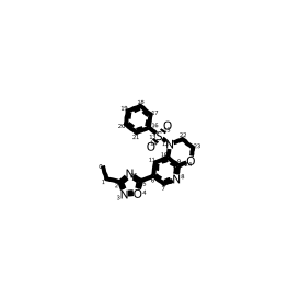 CCc1noc(-c2cnc3c(c2)N(S(=O)(=O)c2ccccc2)CCO3)n1